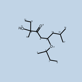 CCC(C)OC(CC(=O)C(C)(O)CC)CC(C)C